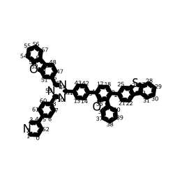 c1cncc(-c2ccc(-c3nc(-c4ccc(-c5ccc(-c6ccc7c(c6)sc6ccccc67)c6c5oc5ccccc56)cc4)nc(-c4ccc5c(c4)oc4ccccc45)n3)cc2)c1